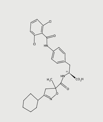 CC1(C(=O)N[C@@H](Cc2ccc(NC(=O)c3c(Cl)cccc3Cl)cc2)C(=O)O)CC(C2CCCCC2)=NO1